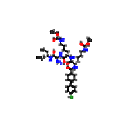 CC(C)C[C@H](NC(=O)[C@H](N)NC(=O)[C@H](CCCCNC(=O)OC(C)(C)C)NC(=O)[C@H](CCCCNC(=O)OC(C)(C)C)NC(=O)c1ccc(-c2ccc(Cl)cc2)cc1)C(=O)O